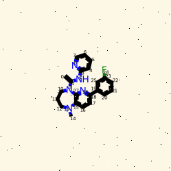 C=C(Nc1ccccn1)N1CCCN(C)c2ccc(-c3cccc(F)c3)nc21